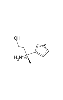 C[C@@](N)(CCO)c1ccsc1